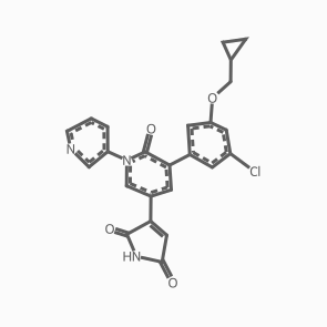 O=C1C=C(c2cc(-c3cc(Cl)cc(OCC4CC4)c3)c(=O)n(-c3cccnc3)c2)C(=O)N1